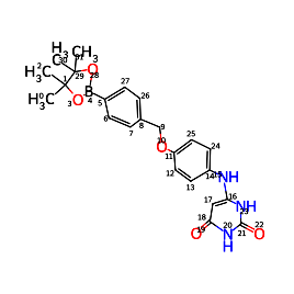 CC1(C)OB(c2ccc(COc3ccc(Nc4cc(=O)[nH]c(=O)[nH]4)cc3)cc2)OC1(C)C